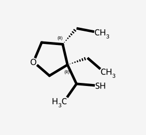 CC[C@H]1COC[C@]1(CC)C(C)S